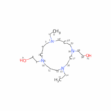 CCN1CCCN(CCO)CCCN(CC)CCN(CCO)CCC1